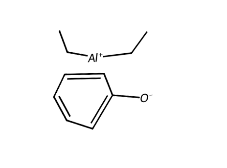 C[CH2][Al+][CH2]C.[O-]c1ccccc1